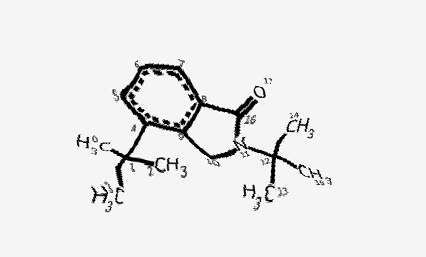 CC(C)(C)c1cccc2c1CN(C(C)(C)C)C2=O